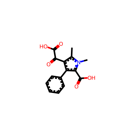 Cc1c(C(=O)C(=O)O)c(-c2ccccc2)c(C(=O)O)n1C